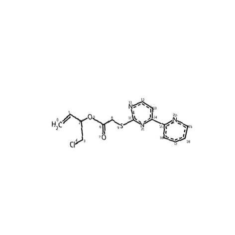 C=CC(CCl)OC(=O)CSc1nccc(-c2ccccn2)n1